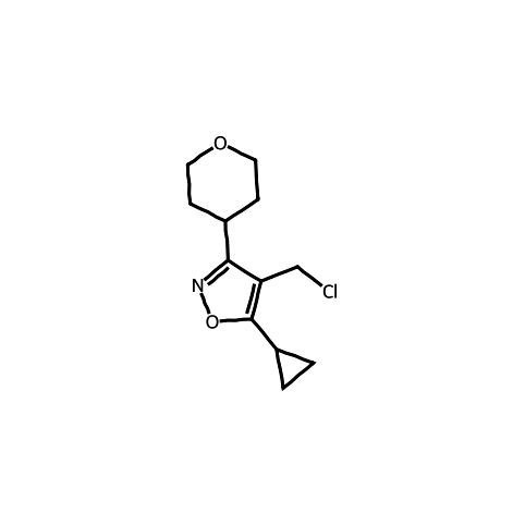 ClCc1c(C2CCOCC2)noc1C1CC1